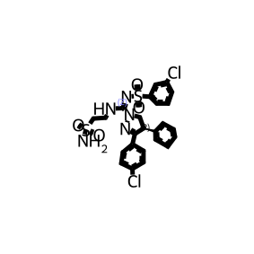 NS(=O)(=O)CCN/C(=N/S(=O)(=O)c1cccc(Cl)c1)N1C[C@@H](c2ccccc2)C(c2ccc(Cl)cc2)=N1